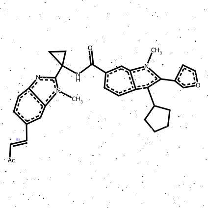 CC(=O)/C=C/c1ccc2nc(C3(NC(=O)c4ccc5c(C6CCCC6)c(-c6ccoc6)n(C)c5c4)CC3)n(C)c2c1